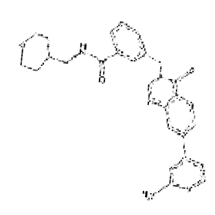 Nc1cc(-c2ccc3c(=O)n(Cc4cccc(C(=O)NCC5CCOCC5)c4)cnc3c2)ccn1